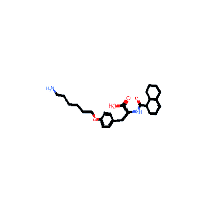 NCCCCCCOc1ccc(CC(NC(=O)C2CCCC3CCCCC32)C(=O)O)cc1